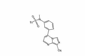 CCS(=O)(=O)N(C)c1cccc(-c2ccnc3c(C#N)ncn23)c1